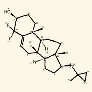 CC1(N[C@H]2CC[C@H]3[C@@H]4CC=C5C(F)(F)[C@@H](O)CC[C@]5(C)[C@H]4CC[C@]23C)CC1